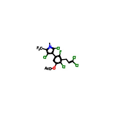 CC(=O)OOc1cc(-c2c(Cl)c(C(F)(F)F)n(C)c2Cl)c(F)c(CC=C(Cl)Cl)c1Cl